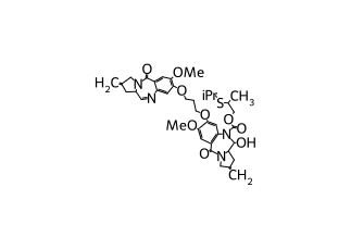 C=C1CC2C=Nc3cc(OCCCOc4cc5c(cc4OC)C(=O)N4CC(=C)CC4C(O)N5C(=O)OCC(C)SC(C)C)c(OC)cc3C(=O)N2C1